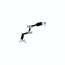 C#CNNC=C